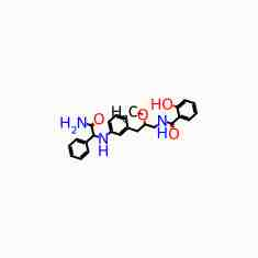 COC(CNC(=O)c1ccccc1O)Cc1cccc(NC(C(N)=O)c2ccccc2)c1